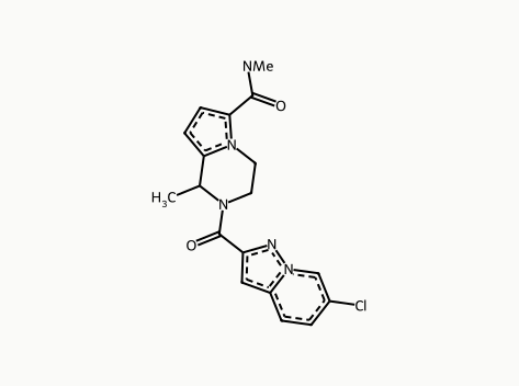 CNC(=O)c1ccc2n1CCN(C(=O)c1cc3ccc(Cl)cn3n1)C2C